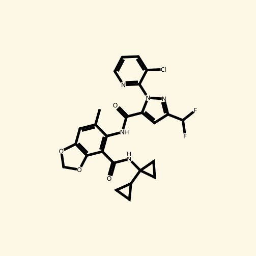 Cc1cc2c(c(C(=O)NC3(C4CC4)CC3)c1NC(=O)c1cc(C(F)F)nn1-c1ncccc1Cl)OCO2